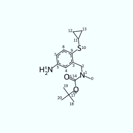 CN(Cc1cc(N)ccc1SC1CC1)C(=O)OC(C)(C)C